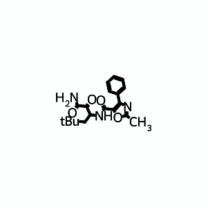 Cc1nc(-c2ccccc2)c(C(=O)NC(CC(C)(C)C)C(=O)C(N)=O)o1